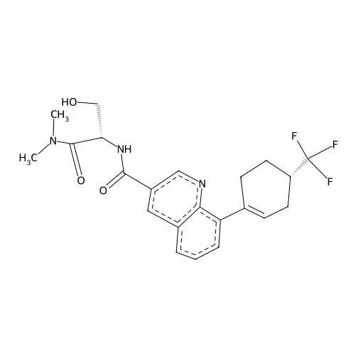 CN(C)C(=O)[C@H](CO)NC(=O)c1cnc2c(C3=CC[C@@H](C(F)(F)F)CC3)cccc2c1